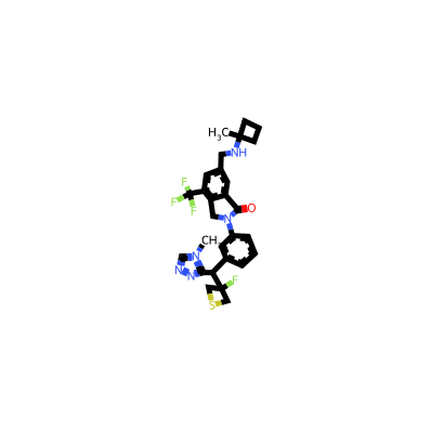 Cn1cnnc1C(c1cccc(N2Cc3c(cc(CNC4(C)CCC4)cc3C(F)(F)F)C2=O)c1)C1(F)CSC1